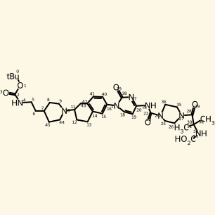 CC(C)(C)OC(=O)NCCC1CCN(C2CCc3cc(-n4ccc(NC(=O)N5CCN(C(=O)C(C)(C)NC(=O)O)CC5)nc4=O)ccc3C2)CC1